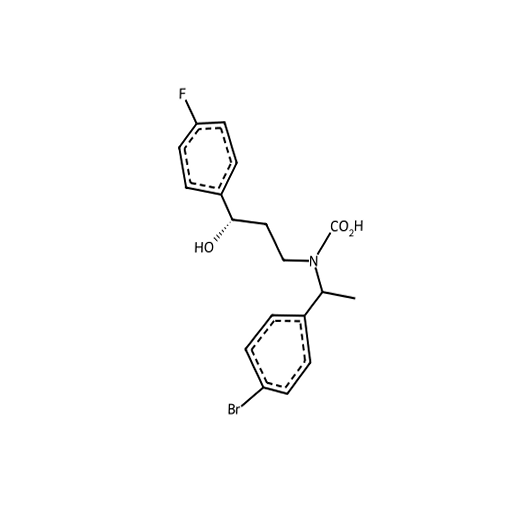 CC(c1ccc(Br)cc1)N(CC[C@H](O)c1ccc(F)cc1)C(=O)O